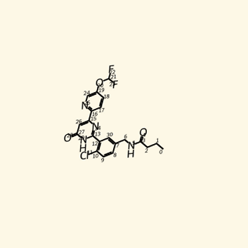 CCCC(=O)NCc1ccc(Cl)c(-c2nc(-c3ccc(OC(F)F)cn3)cc(=O)[nH]2)c1